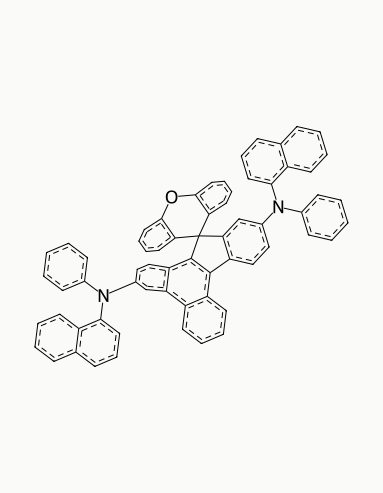 c1ccc(N(c2ccc3c(c2)C2(c4ccccc4Oc4ccccc42)c2c-3c3ccccc3c3cc(N(c4ccccc4)c4cccc5ccccc45)ccc23)c2cccc3ccccc23)cc1